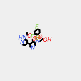 CC(=O)Nc1cc(-c2cncc(N(CCO)S(=O)(=O)c3ccc(F)cc3F)c2C)ccn1